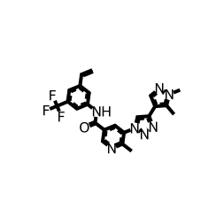 C=Cc1cc(NC(=O)c2cnc(C)c(-n3cc(-c4cnn(C)c4C)nn3)c2)cc(C(F)(F)F)c1